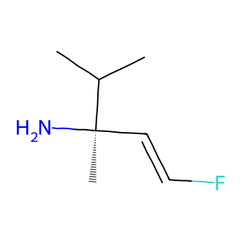 CC(C)[C@](C)(N)/C=C/F